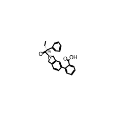 CC[C@@H](C(=O)N1Cc2ccc(-c3ccccc3C(=O)O)cc2C1)c1ccccc1